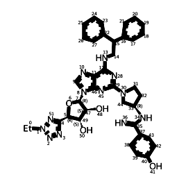 CCn1nnc([C@H]2O[C@@H](n3cnc4c(NCC(c5ccccc5)c5ccccc5)nc(N5CC[C@@H](NC(=N)c6ccc(O)cc6)C5)nc43)[C@@H](O)[C@@H]2O)n1